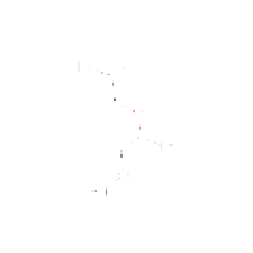 CCC(O)COC(CC)COC(C)(C)C